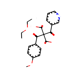 CCOCC.COc1ccc(C(=O)C(C(=O)O)(C(=O)O)C(=O)c2cccnc2)cc1